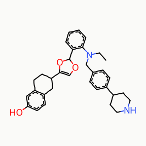 CCN(Cc1ccc(C2CCNCC2)cc1)c1ccccc1C1OC=C(C2CCc3cc(O)ccc3C2)O1